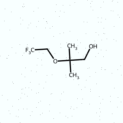 CC(C)(CO)O[CH]C(F)(F)F